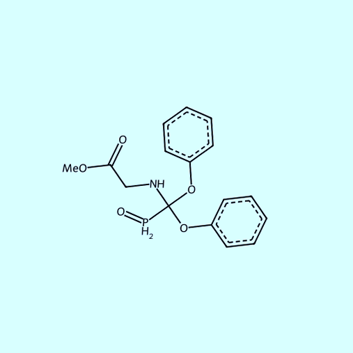 COC(=O)CNC(Oc1ccccc1)(Oc1ccccc1)[PH2]=O